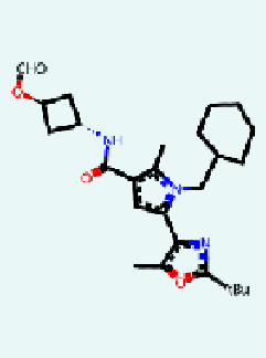 Cc1oc(C(C)(C)C)nc1-c1cc(C(=O)N[C@H]2C[C@H](OC=O)C2)c(C)n1CC1CCCCC1